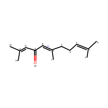 CC(C)=CCC/C(C)=C/C(=O)C=C(C)C